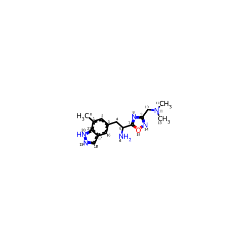 Cc1cc(CC(N)c2nc(CN(C)C)no2)cc2cn[nH]c12